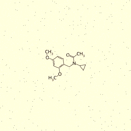 COc1ccc(CN(C(C)=O)C2CC2)c(OC)c1